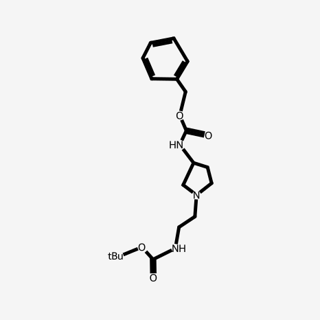 CC(C)(C)OC(=O)NCCN1CCC(NC(=O)OCc2ccccc2)C1